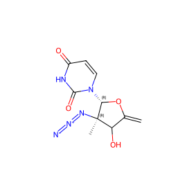 C=C1O[C@@H](n2ccc(=O)[nH]c2=O)[C@](C)(N=[N+]=[N-])C1O